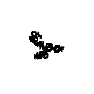 COC(CC(CCCCNCc1ccc(C)o1)C(=O)NO)c1ccc(F)cc1